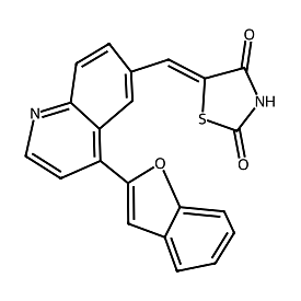 O=C1NC(=O)C(=Cc2ccc3nccc(-c4cc5ccccc5o4)c3c2)S1